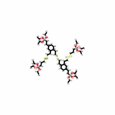 CCO[Si](CCCSSCCC1CC(CC[Si](OCC)(OCC)OCC)CCC1CCSSCCC1CCC(CC[Si](OCC)(OCC)OCC)CC1CCSSCCC[Si](OCC)(OCC)OCC)(OCC)OCC